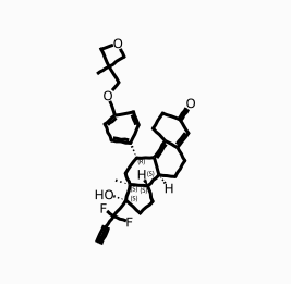 C#CC(F)(F)[C@]1(O)CC[C@H]2[C@@H]3CCC4=CC(=O)CCC4=C3[C@@H](c3ccc(OCC4(C)COC4)cc3)C[C@@]21C